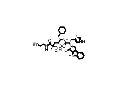 CC(C)CCNC(=O)[C@@](C)(O)C[C@H](O)[C@H](CC1CCCCC1)NC(=O)[C@H](Cc1c[nH]cn1)N1Cc2c([nH]c3ccccc23)C1=O